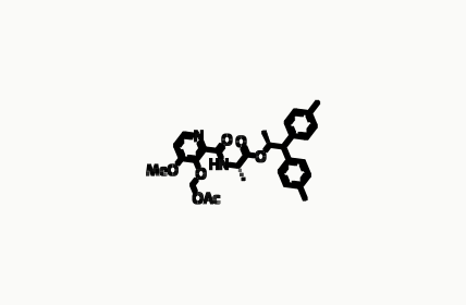 COc1ccnc(C(=O)N[C@@H](C)C(=O)O[C@@H](C)C(c2ccc(C)cc2)c2ccc(C)cc2)c1OCOC(C)=O